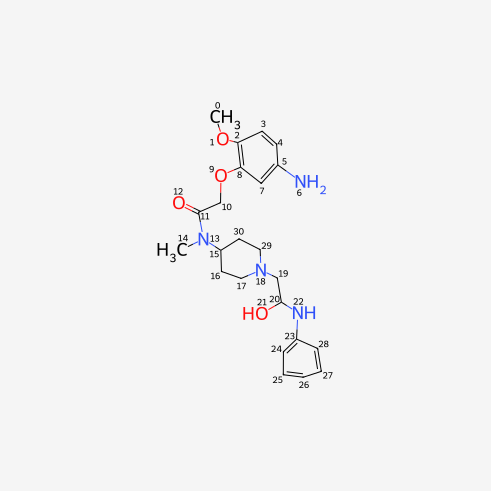 COc1ccc(N)cc1OCC(=O)N(C)C1CCN(CC(O)Nc2ccccc2)CC1